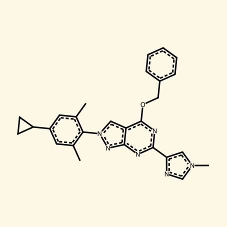 Cc1cc(C2CC2)cc(C)c1-n1cc2c(OCc3ccccc3)nc(-c3cn(C)cn3)nc2n1